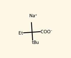 CCC(C)(C(=O)[O-])C(C)(C)C.[Na+]